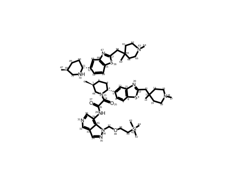 C[C@H]1CC[C@H](c2ccc3sc(CC4(C)CCN(C)CC4)nc3c2)N(C(=O)C(=O)Nc2cncc3cnn(COCC[Si](C)(C)C)c23)C1.C[C@H]1CC[C@H](c2ccc3sc(CC4(C)CCN(C)CC4)nc3c2)NC1